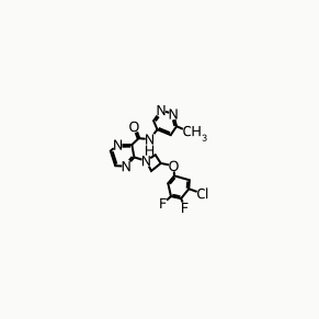 Cc1cc(NC(=O)c2nccnc2N2CC(Oc3cc(F)c(F)c(Cl)c3)C2)cnn1